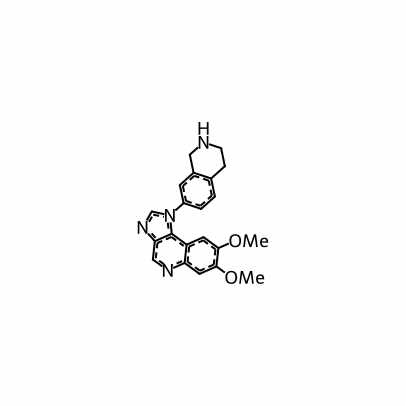 COc1cc2ncc3ncn(-c4ccc5c(c4)CNCC5)c3c2cc1OC